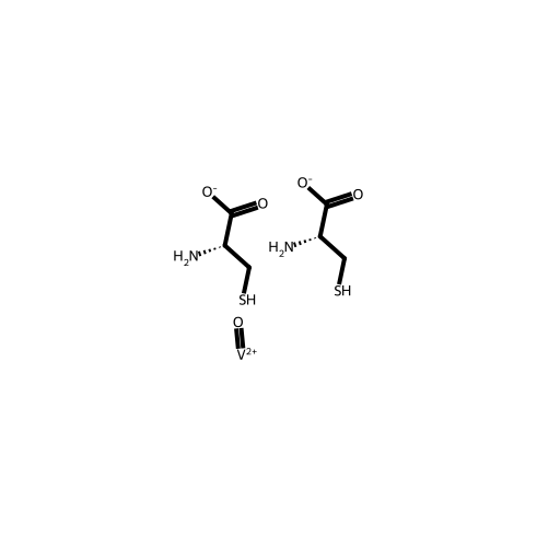 N[C@@H](CS)C(=O)[O-].N[C@@H](CS)C(=O)[O-].[O]=[V+2]